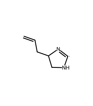 C=CCC1CN[C]=N1